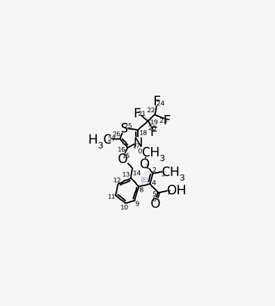 CO/C(C)=C(/C(=O)O)c1ccccc1COc1nc(C(F)(F)C(F)F)sc1C